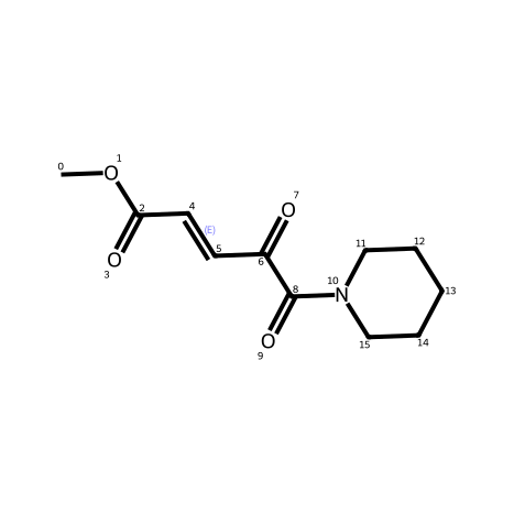 COC(=O)/C=C/C(=O)C(=O)N1CCCCC1